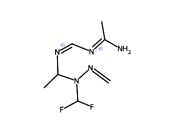 C=NN(C(F)F)C(C)/N=C\N=C(/C)N